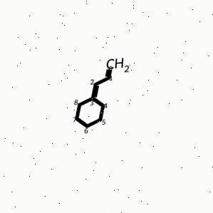 C=CC=C1CCCCC1